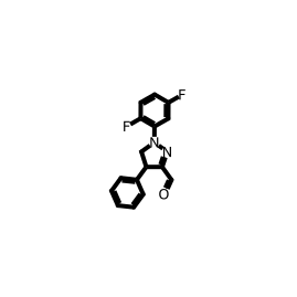 O=CC1=NN(c2cc(F)ccc2F)CC1c1ccccc1